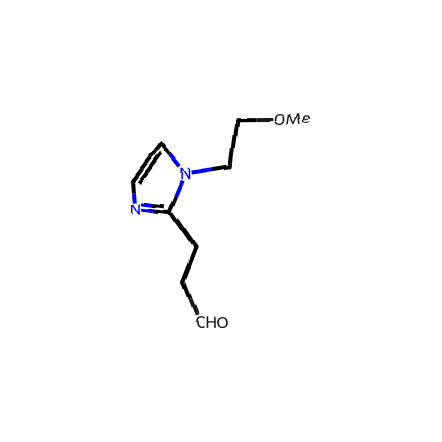 COCCn1ccnc1CCC=O